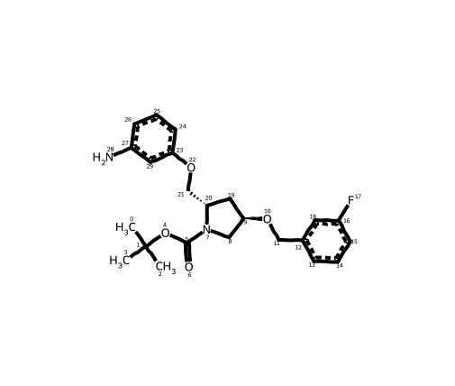 CC(C)(C)OC(=O)N1C[C@H](OCc2cccc(F)c2)C[C@H]1COc1cccc(N)c1